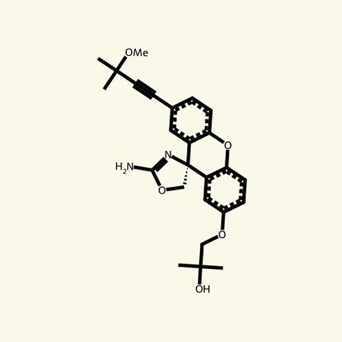 COC(C)(C)C#Cc1ccc2c(c1)[C@@]1(COC(N)=N1)c1cc(OCC(C)(C)O)ccc1O2